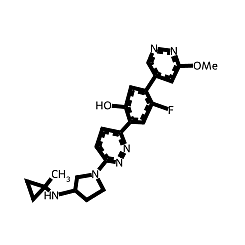 COc1cc(-c2cc(O)c(-c3ccc(N4CCC(NC5(C)CC5)C4)nn3)cc2F)cnn1